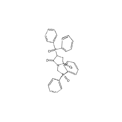 O=C1CC(P(=O)(c2ccccc2)c2ccccc2)C(=O)N1CP(=O)(c1ccccc1)c1ccccc1